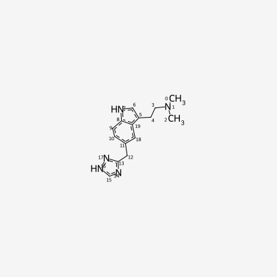 CN(C)CCc1c[nH]c2ccc(Cc3nc[nH]n3)cc12